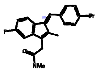 CNC(=O)CC1=C(C)/C(=C\c2ccc(C(C)C)cc2)c2ccc(F)cc21